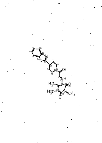 Cn1c(N)c(NCC(=O)N2CCC(c3nc4ccccc4o3)CC2)c(=O)n(C)c1=O